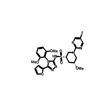 COc1cccc(OC)c1-n1c(NS(=O)(=O)[C@H]2C[C@@H](OC)CN(c3ncc(F)cn3)C2)nnc1-c1ccco1